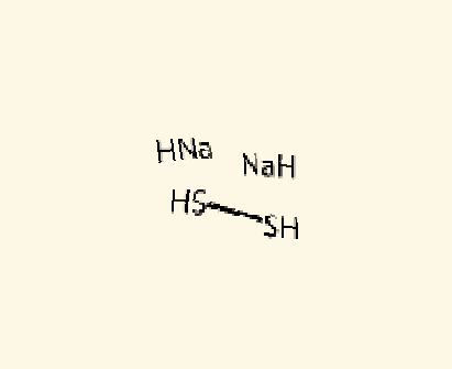 SS.[NaH].[NaH]